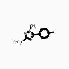 CCOC(=O)c1nc(-c2ccc(F)cc2)n(C)n1